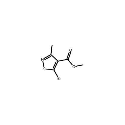 COC(=O)c1c(C)nsc1Br